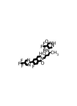 C[C@@H](C[C@@H](O)Cn1ccc2cc(-c3ncc(C(F)(F)F)cn3)c(F)cc2c1=O)Nc1cn[nH]c(=O)c1C(F)(F)F